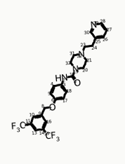 O=C(Nc1ccc(OCc2cc(C(F)(F)F)cc(C(F)(F)F)c2)cc1)N1CCN(CCc2cccnc2)CC1